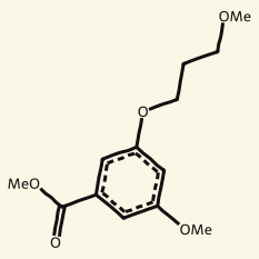 COCCCOc1cc(OC)cc(C(=O)OC)c1